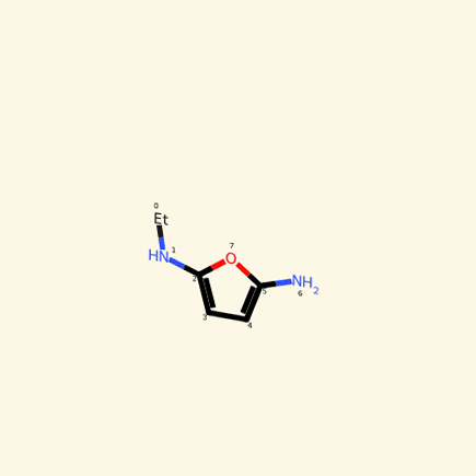 CCNc1ccc(N)o1